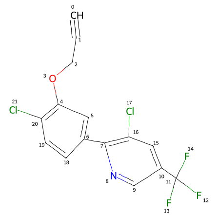 C#CCOc1cc(-c2ncc(C(F)(F)F)cc2Cl)ccc1Cl